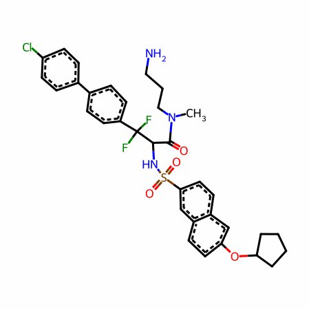 CN(CCCN)C(=O)C(NS(=O)(=O)c1ccc2cc(OC3CCCC3)ccc2c1)C(F)(F)c1ccc(-c2ccc(Cl)cc2)cc1